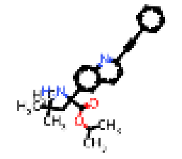 CC(C)OC(=O)C(N)(CC(C)(C)C)c1ccc2nc(C#Cc3ccccc3)ccc2c1